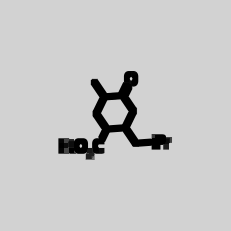 CCOC(=O)C1CC(C)C(=O)CC1CC(C)C